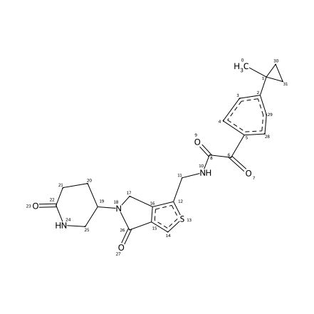 CC1(c2ccc(C(=O)C(=O)NCc3scc4c3CN(C3CCC(=O)NC3)C4=O)cc2)CC1